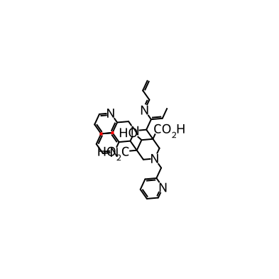 C=CC=NC(=CC)C1N(Cc2ccccn2)C(c2ccccn2)C2(C(=O)O)CN(Cc3ccccn3)CC1(C(=O)O)C2O